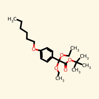 CCCCCCOc1ccc(C(OCC)(OCC)C(=O)OC(C)(C)C)cc1